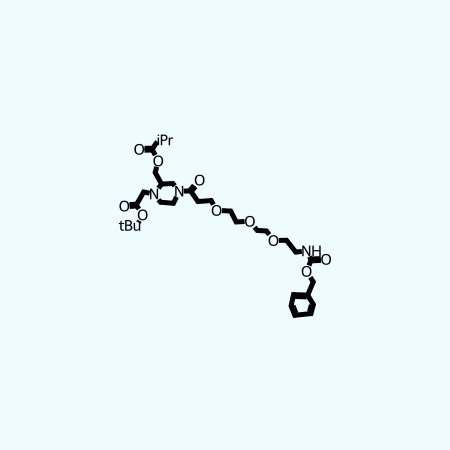 CC(C)C(=O)OCC1CN(C(=O)CCOCCOCCOCCNC(=O)OCc2ccccc2)CCN1CC(=O)OC(C)(C)C